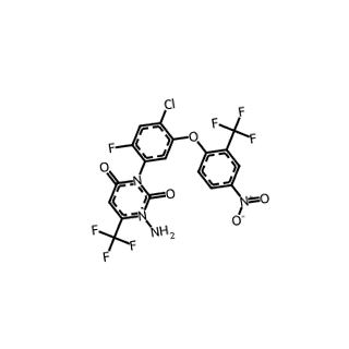 Nn1c(C(F)(F)F)cc(=O)n(-c2cc(Oc3ccc([N+](=O)[O-])cc3C(F)(F)F)c(Cl)cc2F)c1=O